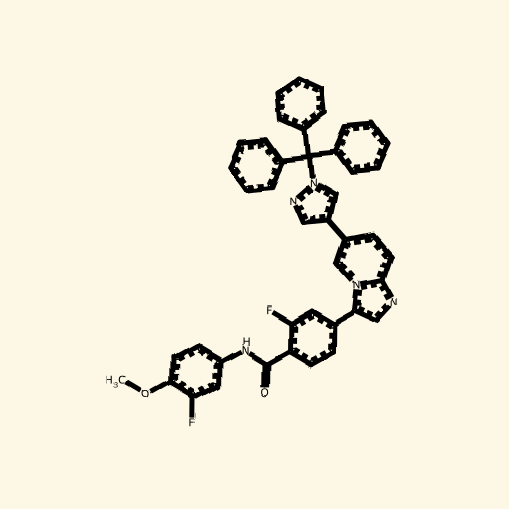 COc1ccc(NC(=O)c2ccc(-c3cnc4ccc(-c5cnn(C(c6ccccc6)(c6ccccc6)c6ccccc6)c5)cn34)cc2F)cc1F